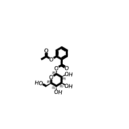 CC(=O)Oc1ccccc1C(=O)O[C@H]1O[C@H](CO)[C@@H](O)[C@H](O)[C@H]1O